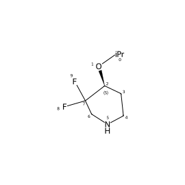 CC(C)O[C@H]1CCNCC1(F)F